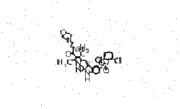 Cc1[nH]c(/C=C2\C(=O)Nc3ccc(S(=O)(=O)Cc4c(Cl)cccc4Cl)cc32)c(C)c1C(=O)NCCN1CCOCC1